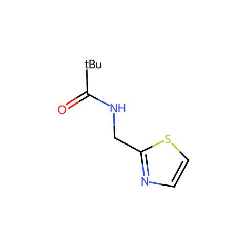 CC(C)(C)C(=O)NCc1nccs1